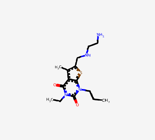 CCCn1c(=O)n(CC)c(=O)c2c(C)c(CNCCN)sc21